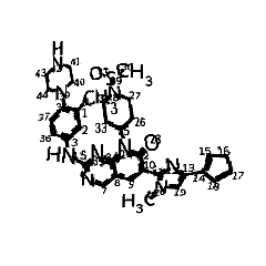 Cc1cc(Nc2ncc3cc(-c4nc(C5=CCC=C5)cn4C)c(=O)n(C4CCN([S+](C)[O-])CC4)c3n2)ccc1N1CCNCC1